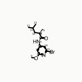 COc1cc(NC(=O)[C@H](C)CC(C)C)cc(Br)n1